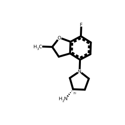 CC1Cc2c(N3CC[C@H](N)C3)ccc(F)c2O1